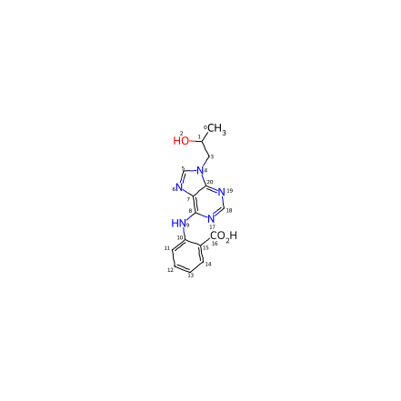 CC(O)Cn1cnc2c(Nc3ccccc3C(=O)O)ncnc21